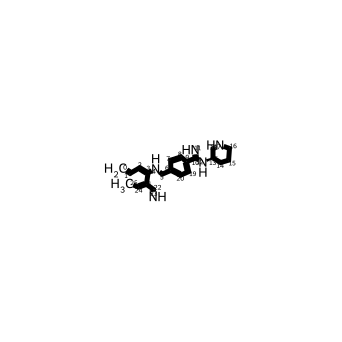 C=C/C=C(NCc1ccc(C(=N)N[C@@H]2CCCNC2)cc1)\C(C=N)=C/C